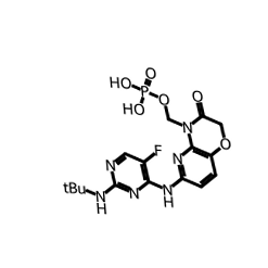 CC(C)(C)Nc1ncc(F)c(Nc2ccc3c(n2)N(COP(=O)(O)O)C(=O)CO3)n1